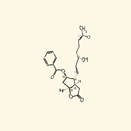 C/C(Cl)=C/CC[C@H](O)/C=C/[C@@H]1[C@H]2CC(=O)O[C@H]2C[C@H]1OC(=O)c1ccccc1